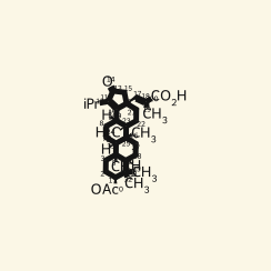 CC(=O)O[C@H]1CC[C@]2(C)[C@H]3CC[C@@H]4C5=C(C(C)C)C(=O)C[C@]5(C=C(C)C(=O)O)CC[C@@]4(C)[C@]3(C)CC[C@H]2C1(C)C